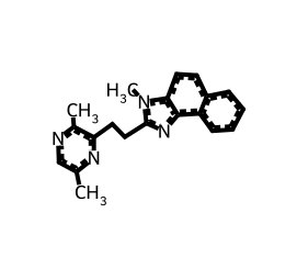 Cc1cnc(C)c(CCc2nc3c4ccccc4ccc3n2C)n1